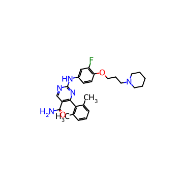 Cc1cccc(C)c1-c1nc(Nc2ccc(OCCCN3CCCCC3)c(F)c2)ncc1C(N)=O